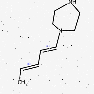 [CH2]/C=C/C=C/N1CCNCC1